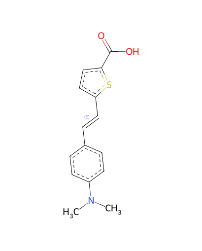 CN(C)c1ccc(/C=C/c2ccc(C(=O)O)s2)cc1